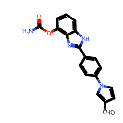 NC(=O)Oc1cccc2[nH]c(-c3ccc(-n4ccc(C=O)c4)cc3)nc12